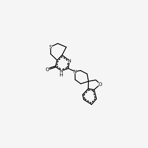 O=c1[nH]c(N2CCC3(CC2)COc2ccccc23)nc2c1CSCC2